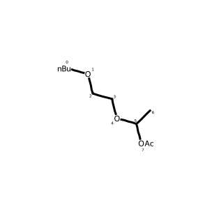 CCCCOCCOC(C)OC(C)=O